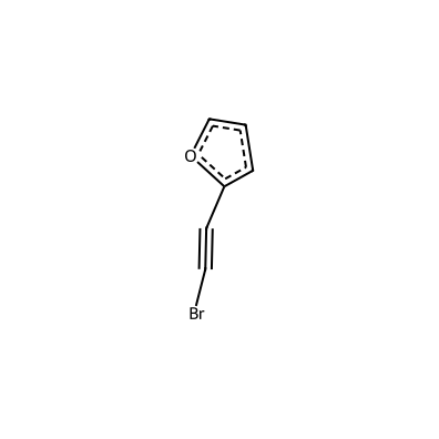 BrC#Cc1ccco1